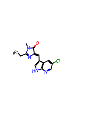 CC(C)CC1=N/C(=C\c2c[nH]c3ncc(Cl)cc23)C(=O)N1C